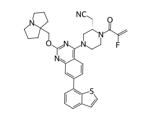 C=C(F)C(=O)N1CCN(c2nc(OCC34CCCN3CCC4)nc3cc(-c4cccc5ccsc45)ccc23)C[C@@H]1CC#N